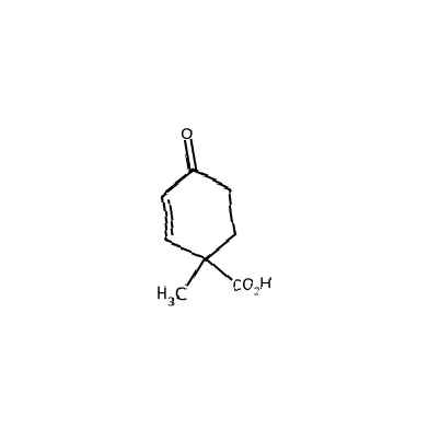 CC1(C(=O)O)C=CC(=O)CC1